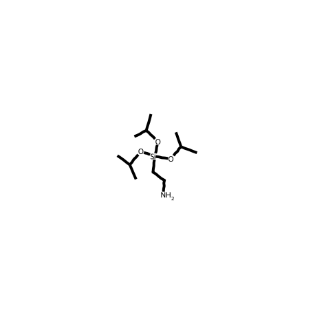 CC(C)O[Si](CCN)(OC(C)C)OC(C)C